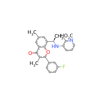 Cc1cc([C@@H](C)Nc2cccnc2C(=O)O)c2oc(-c3cccc(F)c3)c(C)c(=O)c2c1